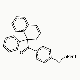 CCCCCOc1ccc(C(=O)C2(c3ccccc3)CC=Cc3ccccc32)cc1